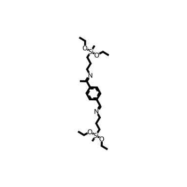 CCO[Si](C)(CCC/N=C/c1ccc(/C(C)=N/CCC[Si](C)(OCC)OCC)cc1)OCC